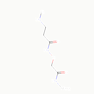 CCCCCNC(=O)CONC(=O)CCNCC